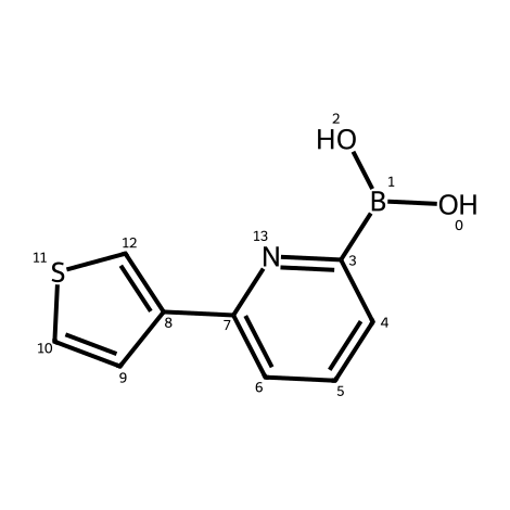 OB(O)c1cccc(-c2ccsc2)n1